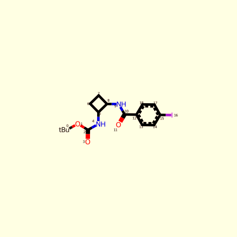 CC(C)(C)OC(=O)NC1CCC1NC(=O)c1ccc(I)cc1